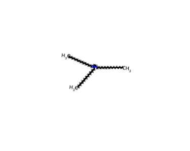 CCCCCCCCCCCCCCCCCCCn1cc[n+](CCCCCCCCCCCCCCCCCC)c1CCCCCCCCCCCCCCCCCC